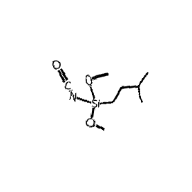 CO[Si](CCC(C)C)(N=C=O)OC